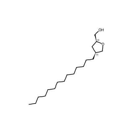 CCCCCCCCCCCCCC[C@@H]1CO[C@H](CO)C1